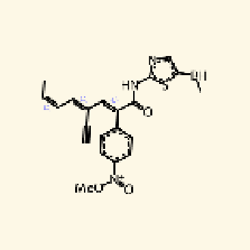 C#CC(=C\C=C/C)/C=C(/C(=O)Nc1ncc(BC)s1)c1ccc([N+](=O)OC)cc1